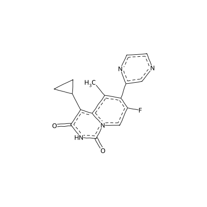 Cc1c(-c2cnccn2)c(F)cn2c(=O)[nH]c(=O)c(C3CC3)c12